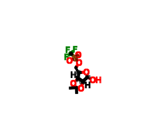 CC1(C)O[C@@H]2[C@H](O1)[C@@H](COS(=O)(=O)C(F)(F)F)O[C@H]2O